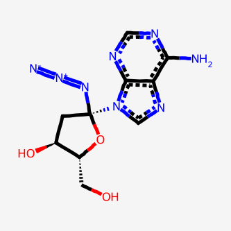 [N-]=[N+]=N[C@]1(n2cnc3c(N)ncnc32)C[C@H](O)[C@@H](CO)O1